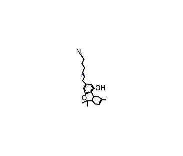 CC1=CCC2C(C1)c1c(O)cc(C/C=C/CCCC#N)cc1OC2(C)C